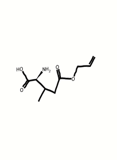 C=CCOC(=O)CC(C)[C@H](N)C(=O)O